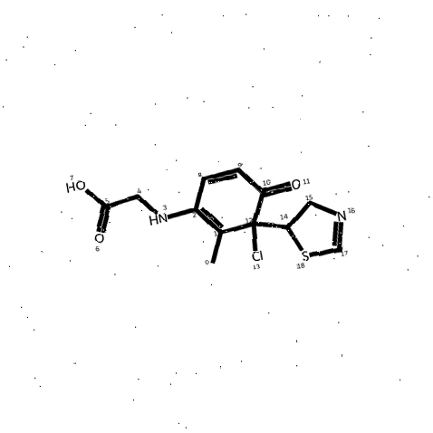 CC1=C(NCC(=O)O)C=CC(=O)C1(Cl)C1CN=CS1